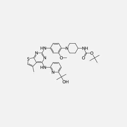 COc1cc(Nc2nc(Nc3cccc(C(C)(C)O)n3)c3c(C)csc3n2)ccc1N1CCC(NC(=O)OC(C)(C)C)CC1